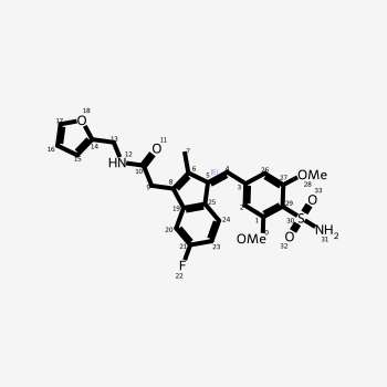 COc1cc(/C=C2/C(C)=C(CC(=O)NCc3ccco3)c3cc(F)ccc32)cc(OC)c1S(N)(=O)=O